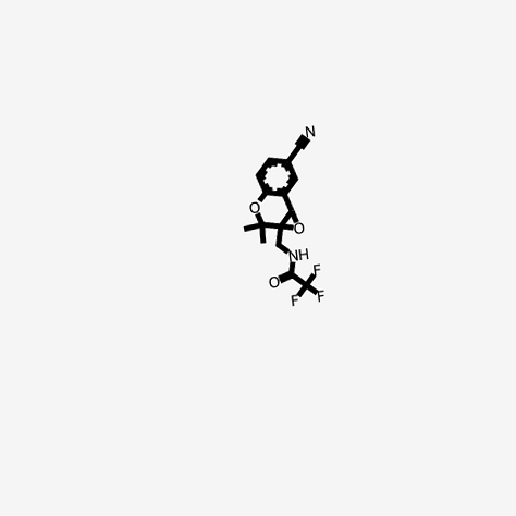 CC1(C)Oc2ccc(C#N)cc2C2OC21CNC(=O)C(F)(F)F